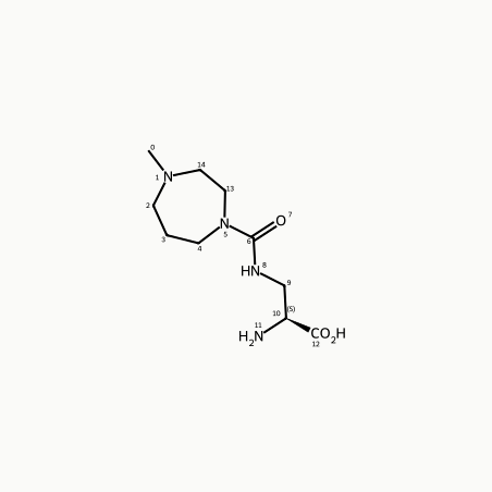 CN1CCCN(C(=O)NC[C@H](N)C(=O)O)CC1